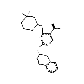 C[C@]1(O)CCCC(Nc2nc(N[C@@H]3CCc4ncccc4C3)ncc2C(N)=O)C1